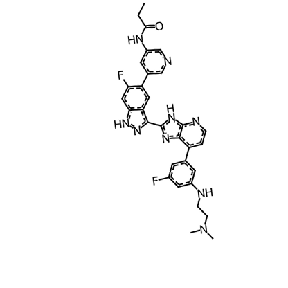 CCC(=O)Nc1cncc(-c2cc3c(-c4nc5c(-c6cc(F)cc(NCCN(C)C)c6)ccnc5[nH]4)n[nH]c3cc2F)c1